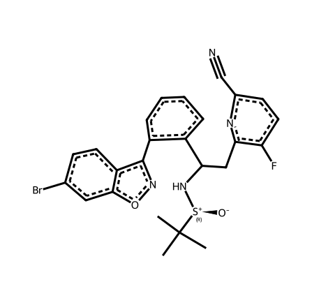 CC(C)(C)[S@+]([O-])NC(Cc1nc(C#N)ccc1F)c1ccccc1-c1noc2cc(Br)ccc12